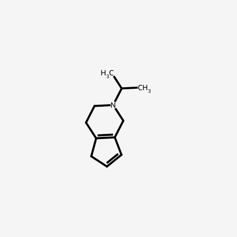 CC(C)N1CCC2=C(C=CC2)C1